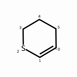 [C]1=CSCCC1